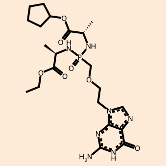 CCOC(=O)[C@@H](C)NP(=O)(COCCn1cnc2c(=O)[nH]c(N)nc21)N[C@@H](C)C(=O)OC1CCCC1